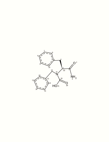 NC(=O)[C@H](Cc1ccccc1)N(Cc1ccccc1)C(=O)O